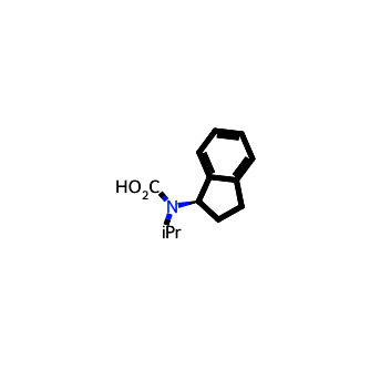 CC(C)N(C(=O)O)[C@@H]1CCc2ccccc21